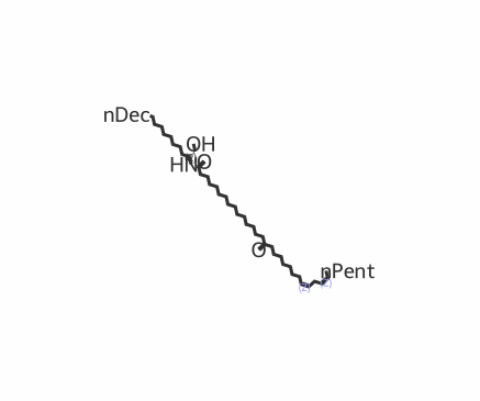 CCCCC/C=C\C/C=C\CCCCCCCC(=O)CCCCCCCCCCCCCCC(=O)N[C@@H](CO)CCCCCCCCCCCCCCCCCC